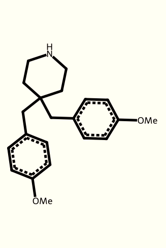 COc1ccc(CC2(Cc3ccc(OC)cc3)CCNCC2)cc1